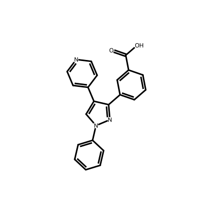 O=C(O)c1cccc(-c2nn(-c3ccccc3)cc2-c2ccncc2)c1